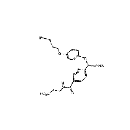 CCCCCCC(Oc1ccc(OCCCC(C)C)cc1)c1ccc(C(=O)NCCC(=O)O)cc1